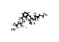 CC(=O)CCCC(=O)NC1Cc2cccc(C(=O)OC(C)OC(=O)OC(C)C)c2OB1O